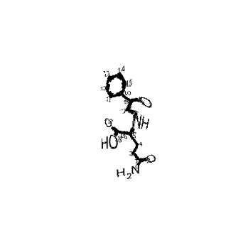 NC(=O)CCC(NCC(=O)c1ccccc1)C(=O)O